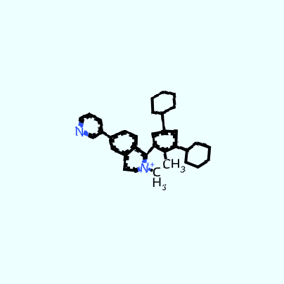 Cc1c(-c2c3ccc(-c4cccnc4)cc3cc[n+]2C)cc(C2CCCCC2)cc1C1CCCCC1